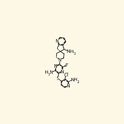 Nc1nc(N2CCC3(CC2)Cc2ncccc2C3N)c(F)nc1Sc1ccnc(N)c1Cl